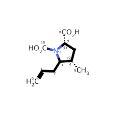 C=CCC1[C@@H](C)C[C@@H](C(=O)O)N1C(=O)O